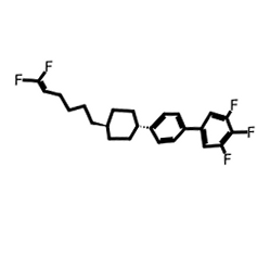 FC(F)=CCCCC[C@H]1CC[C@H](c2ccc(-c3cc(F)c(F)c(F)c3)cc2)CC1